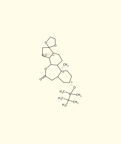 CC(C)(C)[Si](C)(C)O[C@H]1CC[C@@]2(C)C(CC(=O)OC3C2CC[C@@]2(C)C3CCC23OCCO3)C1